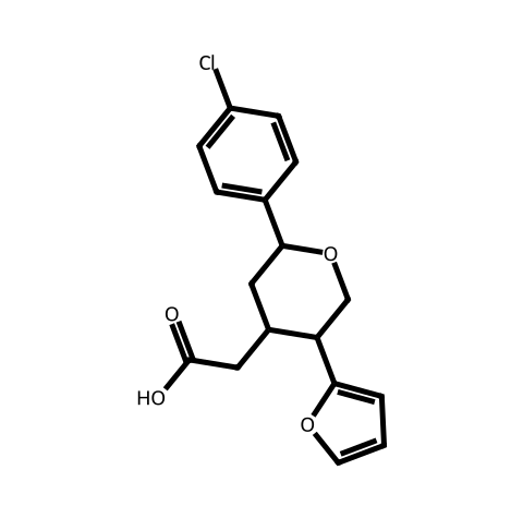 O=C(O)CC1CC(c2ccc(Cl)cc2)OCC1c1ccco1